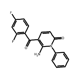 Nc1c(C(=O)c2ccc(F)cc2F)ccc(=O)n1-c1ccccc1